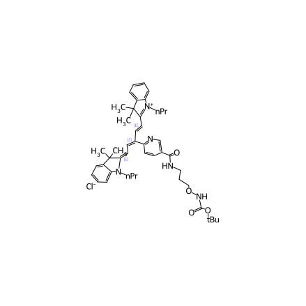 CCCN1/C(=C/C=C(/C=C/C2=[N+](CCC)c3ccccc3C2(C)C)c2ccc(C(=O)NCCCONC(=O)OC(C)(C)C)cn2)C(C)(C)c2ccccc21.[Cl-]